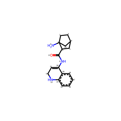 NC12CCC(CC1C(=O)NC1=CCNc3ccccc31)C2